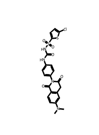 CN(C)c1ccc2c(c1)CC(=O)N(c1ccc(NC(=O)NS(=O)(=O)c3ccc(Cl)s3)cc1)C2=O